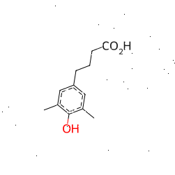 Cc1cc(CCCC(=O)O)cc(C)c1O